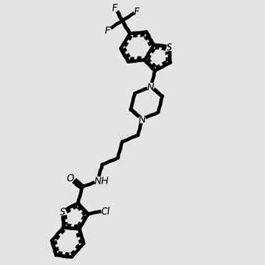 O=C(NCCCCN1CCN(c2csc3cc(C(F)(F)F)ccc23)CC1)c1sc2ccccc2c1Cl